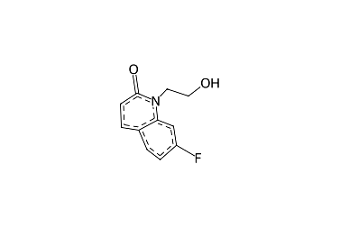 O=c1ccc2ccc(F)cc2n1CCO